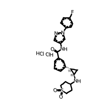 Cl.Cl.O=C(Nc1cnn(-c2ccc(F)cc2)c1)c1cccc([C@@H]2C[C@H]2NC2CCS(=O)(=O)CC2)c1